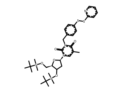 Cc1cn([C@H]2CC(O[Si](C)(C)C(C)(C)C)[C@@H](CO[Si](C)(C)C(C)(C)C)O2)c(=O)n(Cc2ccc(SSc3ccccn3)cc2)c1=O